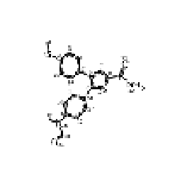 CSc1ccc(-c2cc(C(N)=O)sc2-c2ccc(N(C)C=O)cc2)cc1